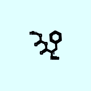 CCCCOC(=O)OC(=O)[C@@H](Cc1ccccc1)NC